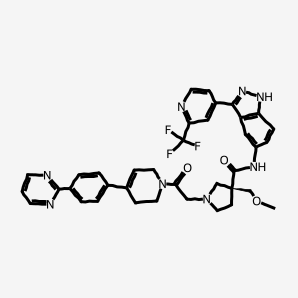 COC[C@@]1(C(=O)Nc2ccc3[nH]nc(-c4ccnc(C(F)(F)F)c4)c3c2)CCN(CC(=O)N2CC=C(c3ccc(-c4ncccn4)cc3)CC2)C1